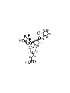 O=C(O)C(F)(F)F.O=C(O)CCN1CCC2(CC1)COc1cc(OCc3ccccc3Cl)ccc12